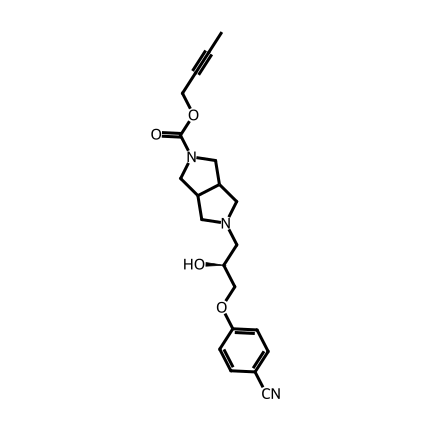 CC#CCOC(=O)N1CC2CN(C[C@H](O)COc3ccc(C#N)cc3)CC2C1